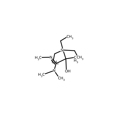 CC[Si](CC)(CC)C(C)(O)C(=NC)N(C)C